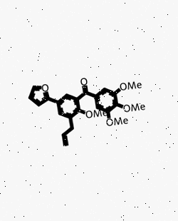 C=CCc1cc(-c2ccco2)cc(C(=O)c2cc(OC)c(OC)c(OC)c2)c1OC